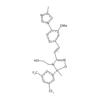 COc1cc(/C=C/C2=NOC(C)(c3cc(C(F)(F)F)cc(C(F)(F)F)c3)N2CCO)ccc1-n1cnc(C)c1